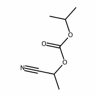 CC(C)OC(=O)OC(C)C#N